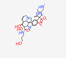 C=C(N)C(CC(CC)CNC)(C(=O)OC)c1cc2c(cc1OC)N(C)C1C23CCN2CC=C[C@](CC)(C23)[C@@H](O)[C@]1(O)C(=O)NCCCO